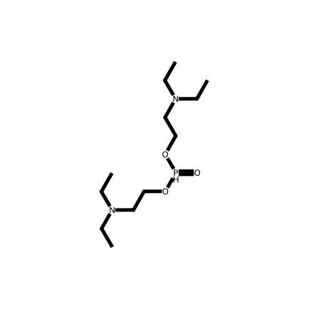 CCN(CC)CCO[PH](=O)OCCN(CC)CC